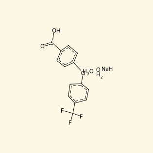 O.O.O=S(O)c1ccc(Oc2ccc(C(F)(F)F)cc2)cc1.[NaH]